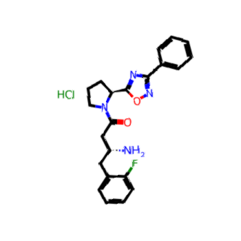 Cl.N[C@@H](CC(=O)N1CCC[C@H]1c1nc(-c2ccccc2)no1)Cc1ccccc1F